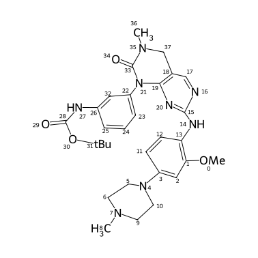 COc1cc(N2CCN(C)CC2)ccc1Nc1ncc2c(n1)N(c1cccc(NC(=O)OC(C)(C)C)c1)C(=O)N(C)C2